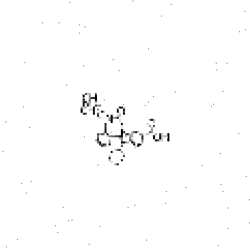 CN(C)CCCN1Cc2ccccc2-c2c(C3CCCCC3)c3ccc(C(=O)O)cc3n2CC1=O